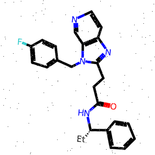 CC[C@H](NC(=O)CCc1nc2ccncc2n1Cc1ccc(F)cc1)c1ccccc1